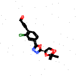 CC1(C)OC[C@@H](c2nnc(-c3ccc(C#CC=O)c(Cl)c3)o2)O1